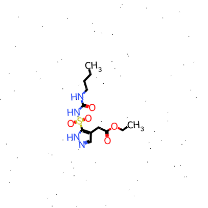 CCCCNC(=O)NS(=O)(=O)c1[nH]ncc1CC(=O)OCC